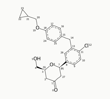 O=C1C[C@@H](CO)O[C@@H](c2ccc(Cl)c(Cc3ccc(OCC4CC4)cc3)c2)C1